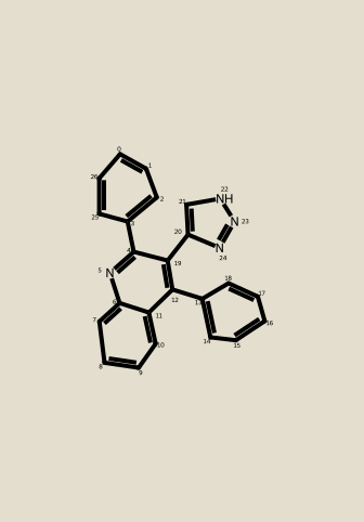 c1ccc(-c2nc3ccccc3c(-c3ccccc3)c2-c2c[nH]nn2)cc1